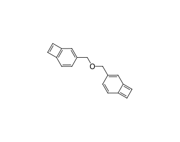 C1=Cc2cc(COCc3ccc4c(c3)=CC=4)ccc21